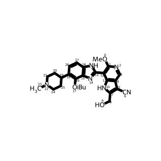 COc1ncc2c(C#N)c(CO)[nH]c2c1-c1nc2c(OCC(C)C)c(C3CCN(C)CC3)ccc2[nH]1